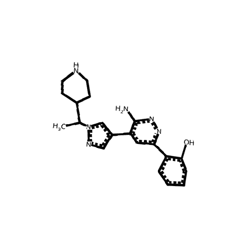 CC(C1CCNCC1)n1cc(-c2cc(-c3ccccc3O)nnc2N)cn1